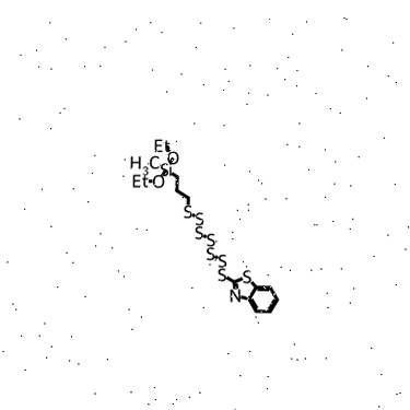 CCO[Si](C)(CCCSSSSSSSc1nc2ccccc2s1)OCC